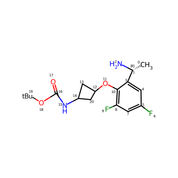 C[C@@H](N)c1cc(F)cc(F)c1OC1CC(NC(=O)OC(C)(C)C)C1